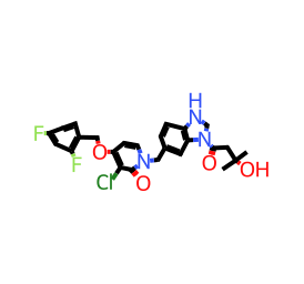 CC(C)(O)CC(=O)N1CNc2ccc(Cn3ccc(OCc4ccc(F)cc4F)c(Cl)c3=O)cc21